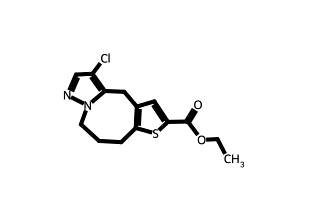 CCOC(=O)c1cc2c(s1)CCCn1ncc(Cl)c1C2